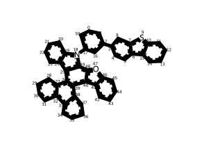 c1cc(-c2ccc3c(c2)sc2ccccc23)cc(-n2c3ccccc3c3c4c5ccccc5c5ccccc5c4c4c5ccccc5oc4c32)c1